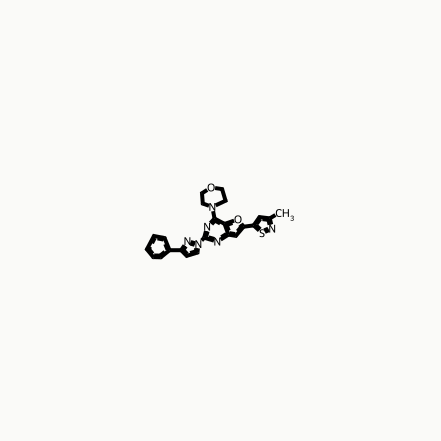 Cc1cc(-c2cc3nc(-n4ccc(-c5ccccc5)n4)nc(N4CCOCC4)c3o2)sn1